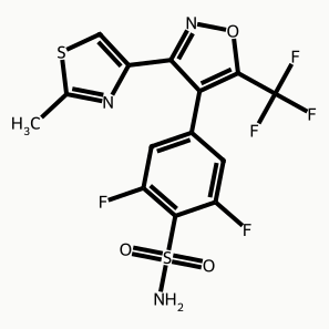 Cc1nc(-c2noc(C(F)(F)F)c2-c2cc(F)c(S(N)(=O)=O)c(F)c2)cs1